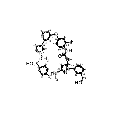 Cc1ccc(S(=O)(=O)O)cc1.Cn1cc(-c2cc(Oc3ccc(NC(=O)Nc4cc(C(C)(C)C)nn4-c4cccc(CO)c4)c(F)c3)ccn2)cn1